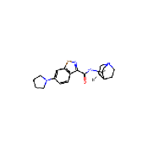 O=C(N[C@H]1CN2CCC1CC2)c1nsc2cc(N3CCCC3)ccc12